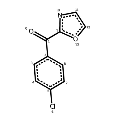 O=C(c1ccc(Cl)cc1)c1ncco1